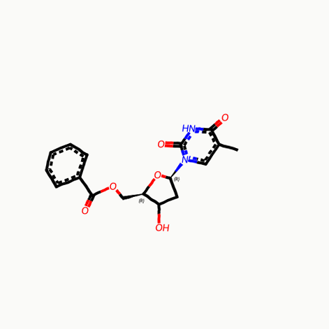 Cc1cn([C@H]2CC(O)[C@@H](COC(=O)c3ccccc3)O2)c(=O)[nH]c1=O